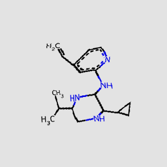 C=Cc1ccnc(NC2NC(C(C)C)CNC2C2CC2)c1